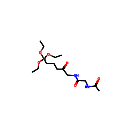 CCO[Si](CCCC(=O)CNC(=O)CNC(C)=O)(OCC)OCC